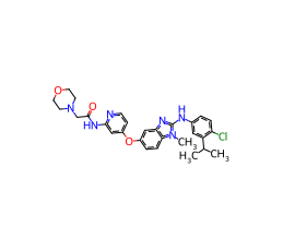 CC(C)c1cc(Nc2nc3cc(Oc4ccnc(NC(=O)CN5CCOCC5)c4)ccc3n2C)ccc1Cl